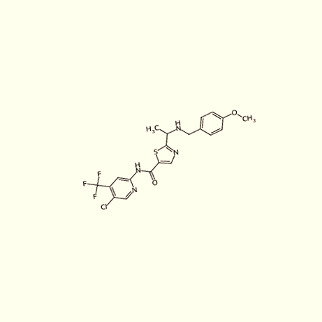 COc1ccc(CNC(C)c2ncc(C(=O)Nc3cc(C(F)(F)F)c(Cl)cn3)s2)cc1